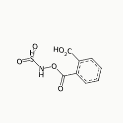 O=C(O)c1ccccc1C(=O)ON[SH](=O)=O